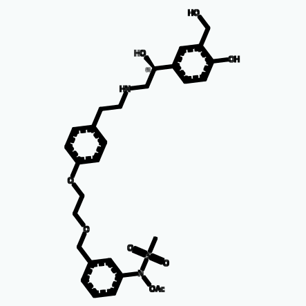 CC(=O)ON(c1cccc(COCCOc2ccc(CCNC[C@@H](O)c3ccc(O)c(CO)c3)cc2)c1)S(C)(=O)=O